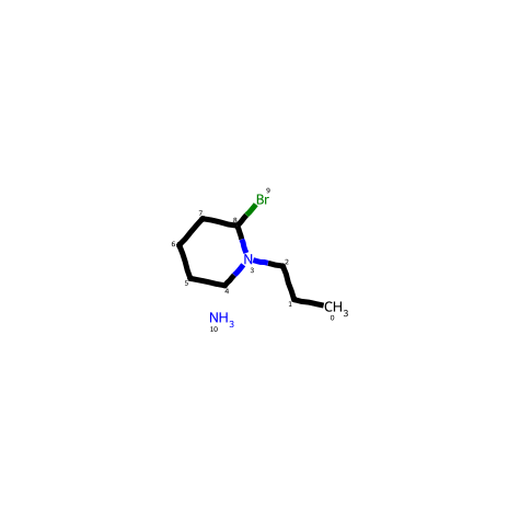 CCCN1CCCCC1Br.N